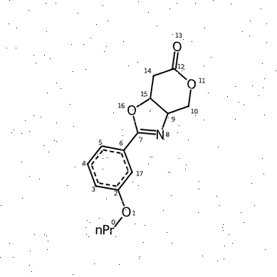 CCCOc1cccc(C2=NC3COC(=O)CC3O2)c1